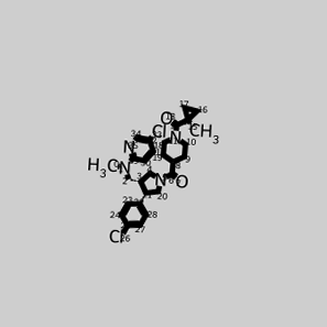 CN(C[C@@H]1CN(C(=O)C2CCN(C(=O)C3(C)CC3)CC2)C[C@@H]1c1ccc(Cl)cc1)c1ccc(Cl)cn1